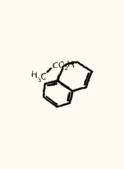 C1=Cc2ccccc2CC1.CC(=O)O